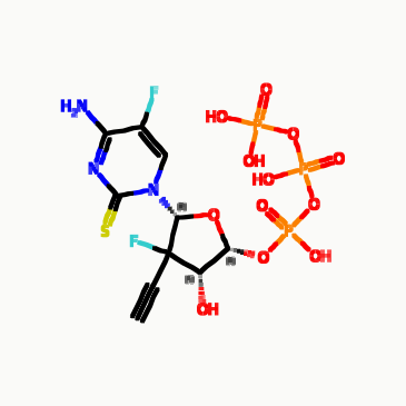 C#CC1(F)[C@@H](O)[C@@H](OP(=O)(O)OP(=O)(O)OP(=O)(O)O)O[C@H]1n1cc(F)c(N)nc1=S